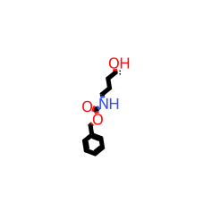 O=C(NCCC[C]O)OCc1ccccc1